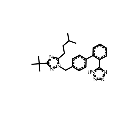 CC(C)CCc1nc(C(C)(C)C)nn1Cc1ccc(-c2ccccc2-c2nnn[nH]2)cc1